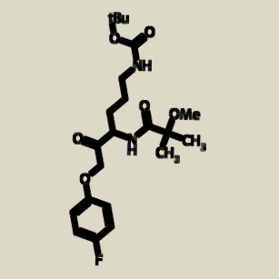 COC(C)(C)C(=O)NC(CCCNC(=O)OC(C)(C)C)C(=O)COc1ccc(F)cc1